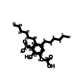 CCCCCCc1cc(OC(=O)O)c(O)c([N+](=O)[O-])c1CCCCCC